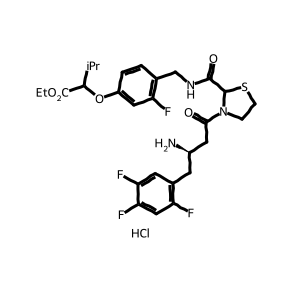 CCOC(=O)C(Oc1ccc(CNC(=O)C2SCCN2C(=O)C[C@H](N)Cc2cc(F)c(F)cc2F)c(F)c1)C(C)C.Cl